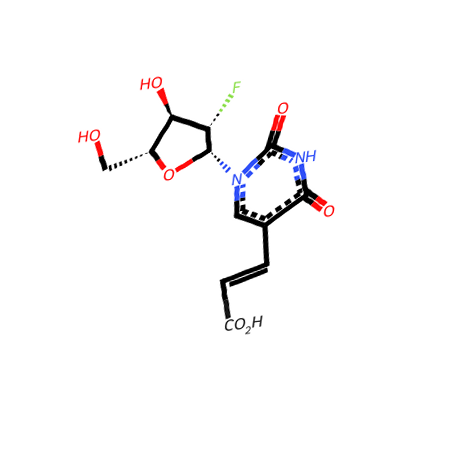 O=C(O)/C=C/c1cn([C@@H]2O[C@H](CO)[C@@H](O)[C@@H]2F)c(=O)[nH]c1=O